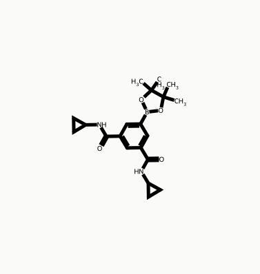 CC1(C)OB(c2cc(C(=O)NC3CC3)cc(C(=O)NC3CC3)c2)OC1(C)C